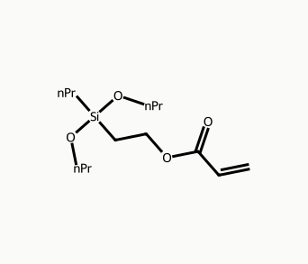 C=CC(=O)OCC[Si](CCC)(OCCC)OCCC